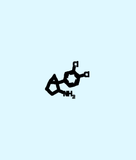 NC1CCC2CC12c1ccc(Cl)c(Cl)c1